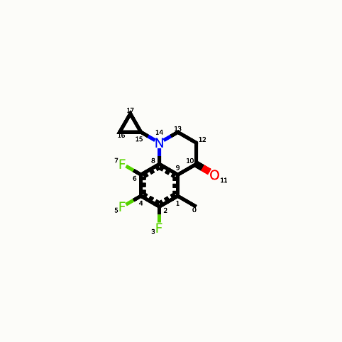 Cc1c(F)c(F)c(F)c2c1C(=O)CCN2C1CC1